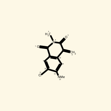 C=C1C(=O)N(C)C(=O)c2cc(Cl)c(NC)cc21